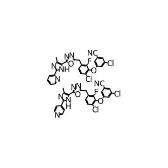 Cc1nc(-c2ccccn2)[nH]c1-c1nnc(Cc2ccc(Cl)c(Oc3cc(Cl)cc(C#N)c3)c2F)o1.Cc1nc(-c2ccncc2)[nH]c1-c1nnc(Cc2ccc(Cl)c(Oc3cc(Cl)cc(C#N)c3)c2F)o1